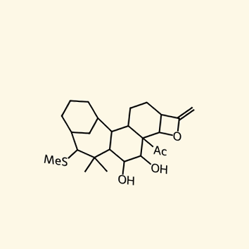 C=C1OC2C1CCC1C3C4CCCC(C4)C(SC)C(C)(C)C3C(O)C(O)C12C(C)=O